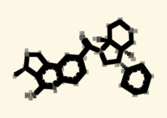 C[C@H]1OCc2c1c(N)nc1ccc(C(=O)N3C[C@@H](c4ccccc4)[C@@H]4COCC[C@H]43)cc21